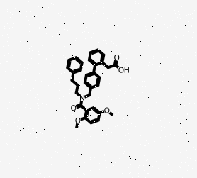 COc1ccc(OC)c(C(=O)N(CCCc2ccccc2)Cc2ccc(-c3ccccc3CC(=O)O)cc2)c1